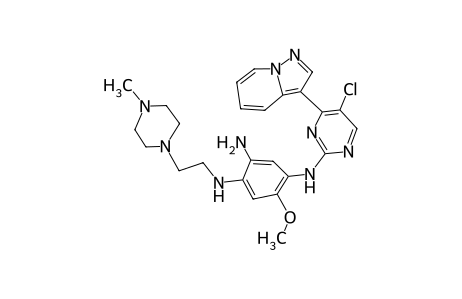 COc1cc(NCCN2CCN(C)CC2)c(N)cc1Nc1ncc(Cl)c(-c2cnn3ccccc23)n1